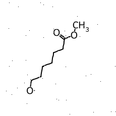 COC(=O)CCCCCC[O]